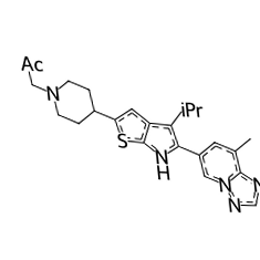 CC(=O)CN1CCC(c2cc3c(C(C)C)c(-c4cc(C)c5ncnn5c4)[nH]c3s2)CC1